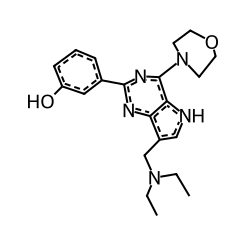 CCN(CC)Cc1c[nH]c2c(N3CCOCC3)nc(-c3cccc(O)c3)nc12